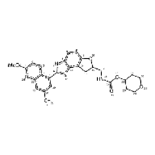 COc1cnc2c(-c3nc4ccc5c(c4s3)CC(CNC(=O)OC3CCOCC3)O5)cc(C)cc2n1